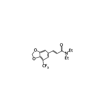 CCN(CC)C(=O)/C=C/c1cc2c(c(C(F)(F)F)c1)OCO2